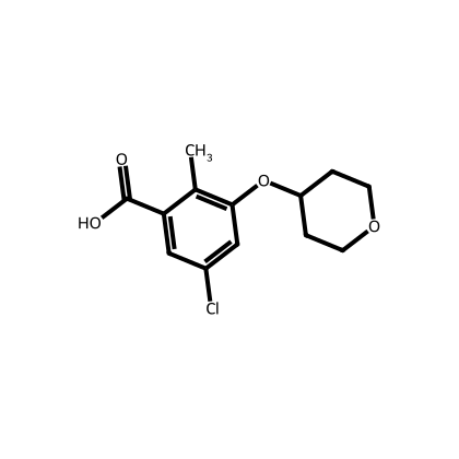 Cc1c(OC2CCOCC2)cc(Cl)cc1C(=O)O